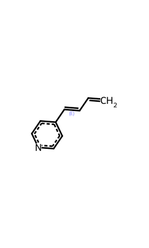 C=C/C=C/c1ccncc1